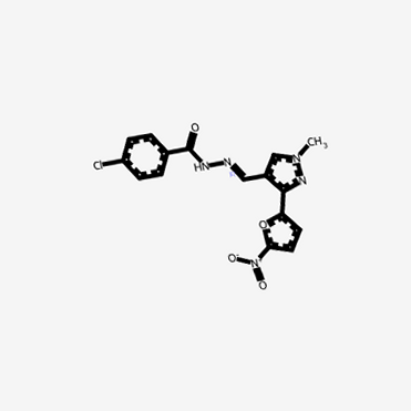 Cn1cc(/C=N/NC(=O)c2ccc(Cl)cc2)c(-c2ccc([N+](=O)[O-])o2)n1